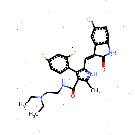 CCN(CC)CCNC(=O)c1c(C)[nH]c(C=C2C(=O)Nc3ccc(Cl)cc32)c1-c1ccc(F)cc1F